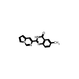 Cc1ccc2nc(-c3cc4cccn4cn3)[nH]c(=O)c2c1